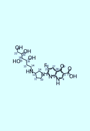 O=C(O)c1c[nH]c2nc(N3CCC(NCC[C@@H](O)[C@H](O)[C@H](O)CO)C3)c(F)cc2c1=O